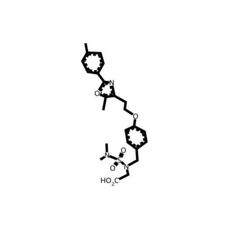 Cc1ccc(-c2nc(CCOc3ccc(CN(CC(=O)O)S(=O)(=O)N(C)C)cc3)c(C)o2)cc1